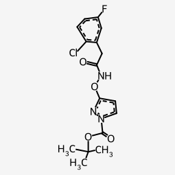 CC(C)(C)OC(=O)n1ccc(ONC(=O)Cc2cc(F)ccc2Cl)n1